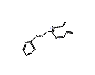 C=C/C=N\C(=N/C=C)SSSc1ncccn1